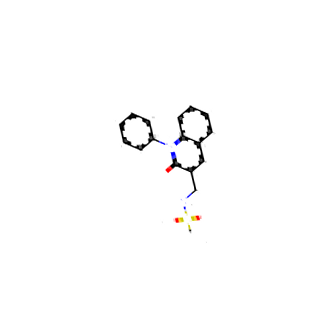 CS(=O)(=O)NCc1cc2ccccc2n(-c2ccccc2)c1=O